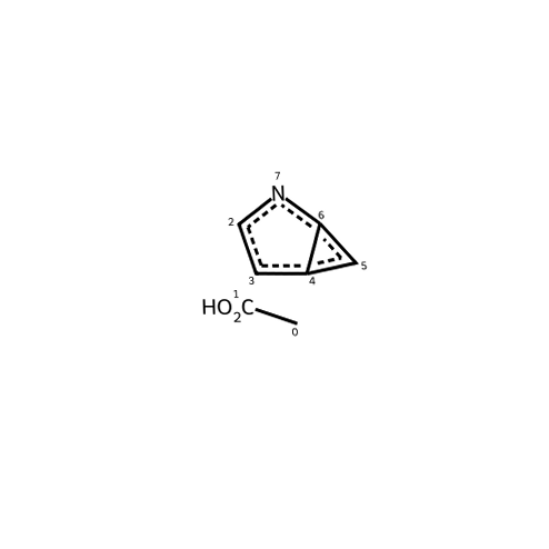 CC(=O)O.c1cc2cc-2n1